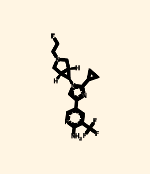 Nc1ncc(-c2cn([C@H]3[C@@H]4CN(CCF)C[C@@H]43)c(C3CC3)n2)cc1C(F)(F)F